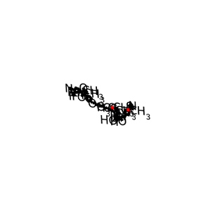 Cc1ncsc1-c1ccc(CNC(=O)[C@@H]2C[C@@H](O)CN2C(=O)[C@@H](NC(=O)COCCOCCCOc2ccc(N3C(=O)N(c4ccc(C#N)c(C(F)(F)F)c4)C(=O)C3(C)C)cc2)C(C)(C)C)cc1